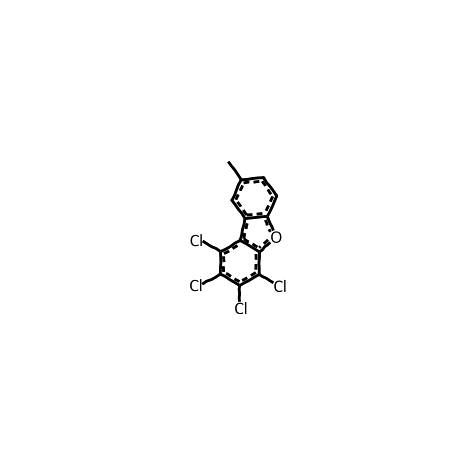 Cc1ccc2oc3c(Cl)c(Cl)c(Cl)c(Cl)c3c2c1